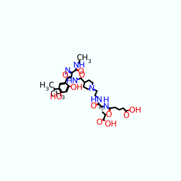 CCNC(=O)c1noc(-c2cc(C(C)C)c(O)cc2O)c1NC(=O)C1CCN(CCNC(=O)[C@@H](CCC(=O)O)NC(=O)CCCC(=O)O)CC1